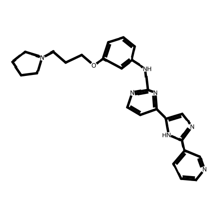 c1cc(Nc2nccc(-c3cnc(-c4cccnc4)[nH]3)n2)cc(OCCCN2CCCC2)c1